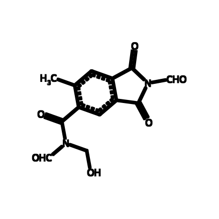 Cc1cc2c(cc1C(=O)N(C=O)CO)C(=O)N(C=O)C2=O